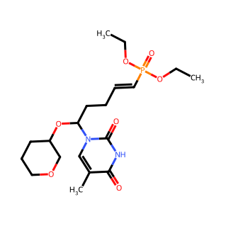 CCOP(=O)(C=CCCC(OC1CCCOC1)n1cc(C)c(=O)[nH]c1=O)OCC